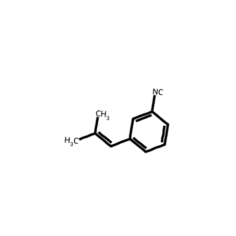 [C-]#[N+]c1cccc(C=C(C)C)c1